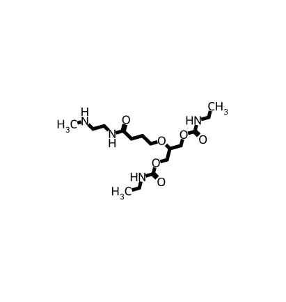 CCNC(=O)OCC(COC(=O)NCC)OCCCC(=O)NCCNC